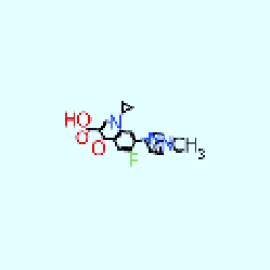 CN1CC2CCC1CN2c1cc2c(cc1F)c(=O)c(C(=O)O)cn2C1CC1